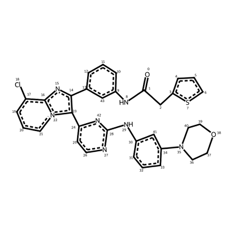 O=C(Cc1cccs1)Nc1cccc(-c2nc3c(Cl)cccn3c2-c2ccnc(Nc3cccc(N4CCOCC4)c3)n2)c1